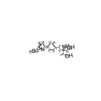 CCCCS1=NC(c2ccc(CCC(N)(CO)CO)cc2)=CS1